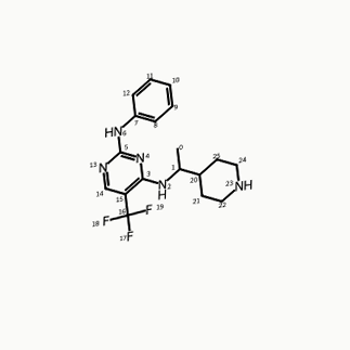 CC(Nc1nc(Nc2ccccc2)ncc1C(F)(F)F)C1CCNCC1